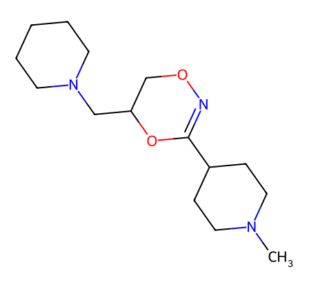 CN1CCC(C2=NOCC(CN3CCCCC3)O2)CC1